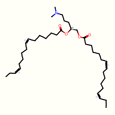 CC/C=C\CCCC/C=C\CCCCCC(=O)OC[C@H](CCCN(C)C)OC(=O)CCCCC/C=C\CCCC/C=C\CC